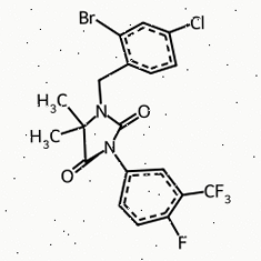 CC1(C)C(=O)N(c2ccc(F)c(C(F)(F)F)c2)C(=O)N1Cc1ccc(Cl)cc1Br